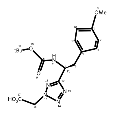 COc1ccc(C[C@H](NC(=O)OC(C)(C)C)c2nnn(CC(=O)O)n2)cc1